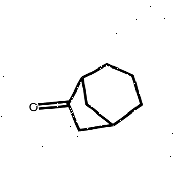 O=C1CC2CCCC1C2